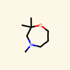 CN1CCCOC(C)(C)C1